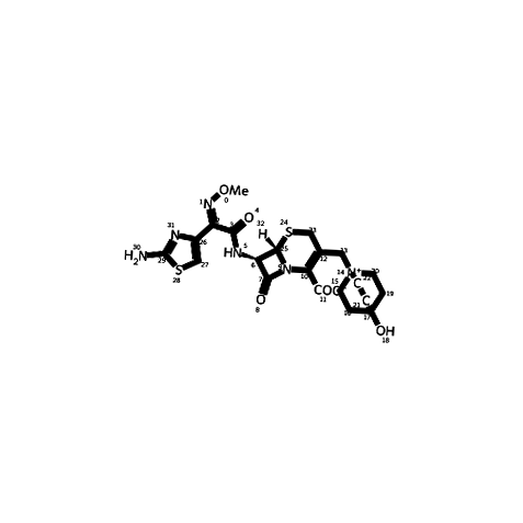 CO/N=C(\C(=O)N[C@@H]1C(=O)N2C(C(=O)[O-])=C(C[N+]34CCC(O)(CC3)CC4)CS[C@@H]12)c1csc(N)n1